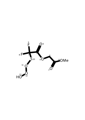 COC(=O)COC(=O)C(F)(F)SOOO